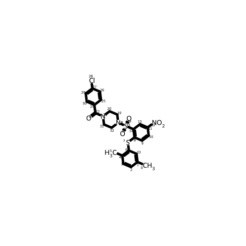 Cc1ccc(C)c(Sc2ccc([N+](=O)[O-])cc2S(=O)(=O)N2CCN(C(=O)c3ccc(Cl)cc3)CC2)c1